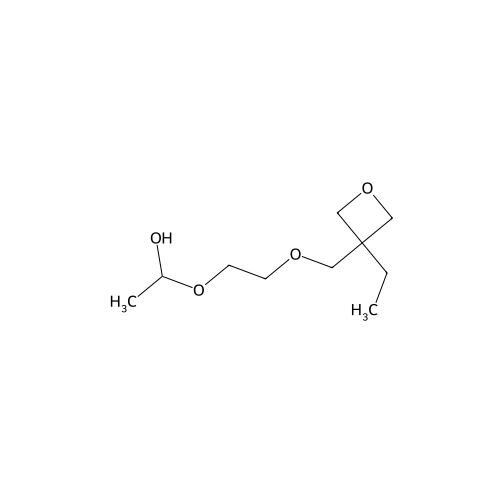 CCC1(COCCOC(C)O)COC1